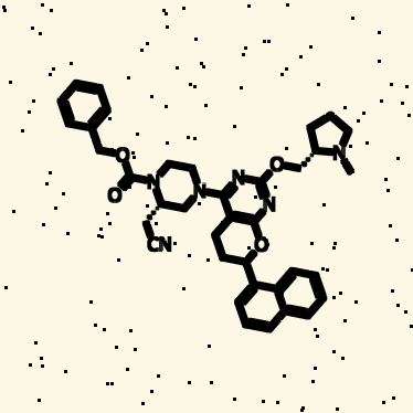 CN1CCC[C@H]1COc1nc2c(c(N3CCN(C(=O)OCc4ccccc4)[C@@H](CC#N)C3)n1)CCC(c1cccc3ccccc13)O2